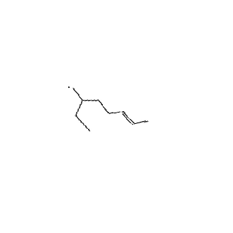 [CH2]C(CC)CCC=CC